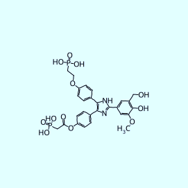 COc1cc(-c2nc(-c3ccc(OC(=O)CP(=O)(O)O)cc3)c(-c3ccc(OCCP(=O)(O)O)cc3)[nH]2)cc(CO)c1O